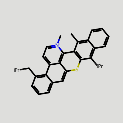 Cc1c2c(c(C(C)C)c3ccccc13)Sc1cc3cccc(CC(C)C)c3c3cc[n+](C)c-2c13